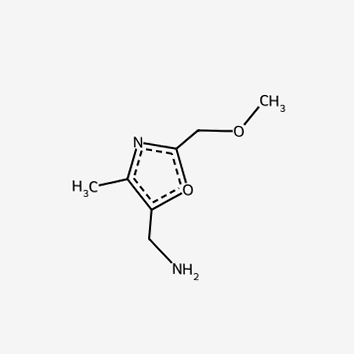 COCc1nc(C)c(CN)o1